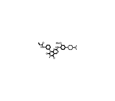 C=CC(=O)Nc1cccc(-n2c(=O)n(C)c(=O)c3cnc(Nc4ccc(N5CCC(N(C)C)CC5)cc4OC)nc32)c1